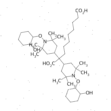 CC1(C)CC(C(CCCCCCCC(=O)O)(C(=O)O)C2CC(C)(C)N(OC3CCCCC3O)C(C)(C)C2)CC(C)(C)N1OC1CCCCC1O